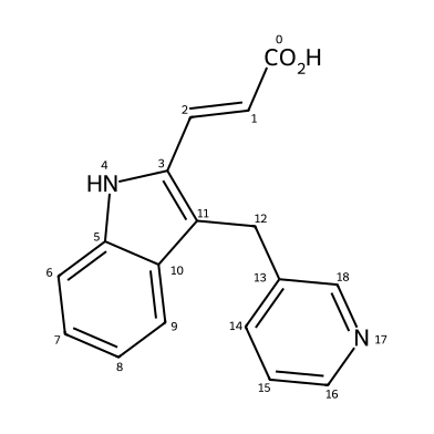 O=C(O)C=Cc1[nH]c2ccccc2c1Cc1cccnc1